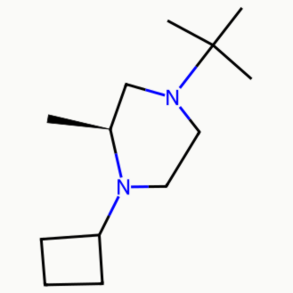 C[C@H]1CN(C(C)(C)C)CCN1C1CCC1